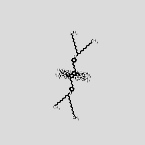 CCCCCCCCCCCCC(CCCCCCCCCC)COc1ccc(CCCCc2cc3c(cc(CCCCc4ccc(OCC(CCCCCCCCCC)CCCCCCCCCCCC)cc4)c4cc([Si](C(C)C)(C(C)C)C(C)C)sc43)c3sc([Si](C(C)C)(C(C)C)C(C)C)cc23)cc1